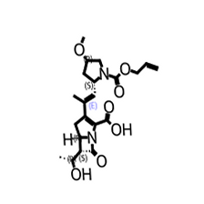 C=CCOC(=O)N1C[C@H](OC)C[C@H]1/C=C(\C)C1=C(C(=O)O)N2C(=O)[C@H]([C@@H](C)O)[C@H]2C1